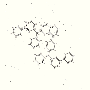 c1ccc(-c2cccc(N(c3ccccc3)c3ccc(-c4cccc5ccc(N(c6ccccc6)c6cccc(-c7ccccc7)c6)cc45)cc3)c2)cc1